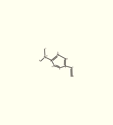 C=Cc1cnc(N(C)C)nc1